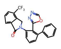 O=C1c2cccc(C(F)(F)F)c2CN1c1cccc(-c2ccccc2)c1-c1nnco1